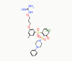 Cc1cc(OCCCONC(=N)N)cc(S(=O)(=O)C2=C(S(=O)(=O)N3CCN(c4ccccc4)CC3)C(=O)CC=C2)c1.Cl